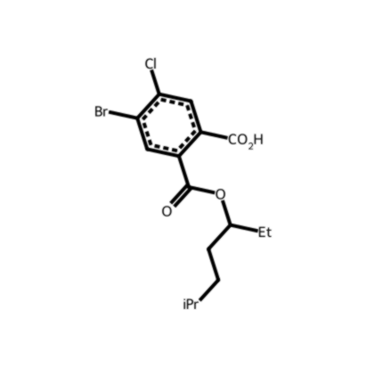 CCC(CCC(C)C)OC(=O)c1cc(Br)c(Cl)cc1C(=O)O